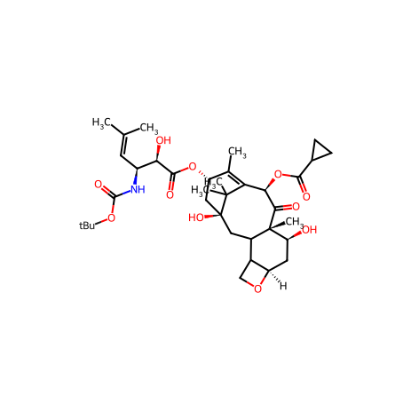 CC(C)=C[C@H](NC(=O)OC(C)(C)C)[C@@H](O)C(=O)O[C@H]1C[C@@]2(O)CC3C4CO[C@@H]4C[C@H](O)[C@@]3(C)C(=O)[C@H](OC(=O)C3CC3)C(=C1C)C2(C)C